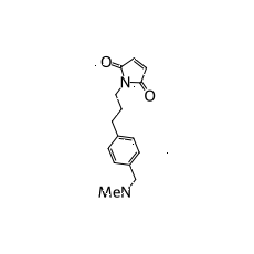 CNCc1ccc(CCCN2C(=O)C=CC2=O)cc1